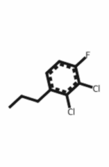 CCCc1ccc(F)c(Cl)c1Cl